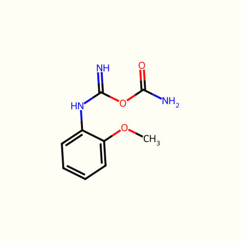 COc1ccccc1NC(=N)OC(N)=O